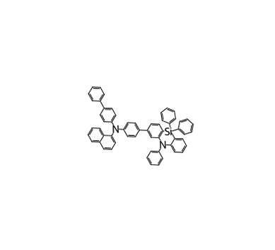 c1ccc(-c2ccc(N(c3ccc(-c4ccc5c(c4)N(c4ccccc4)c4ccccc4[Si]5(c4ccccc4)c4ccccc4)cc3)c3cccc4ccccc34)cc2)cc1